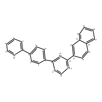 c1ccc(-c2ccc(-c3ncnc(-c4ccc5ccccc5c4)n3)cc2)nc1